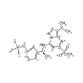 CC(C)c1cnn2c(N[C@@H](C)c3cccc(OC(F)(F)F)c3)nc(S(C)(=O)=O)nc12